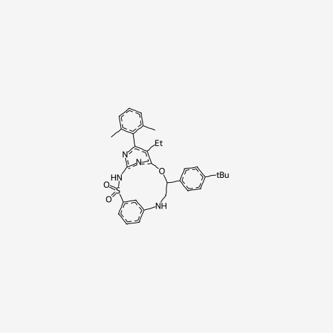 CCc1c2nc(nc1-c1c(C)cccc1C)NS(=O)(=O)c1cccc(c1)NCC(c1ccc(C(C)(C)C)cc1)O2